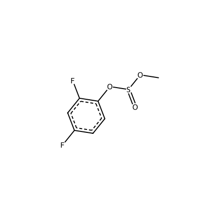 COS(=O)Oc1ccc(F)cc1F